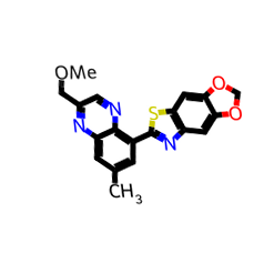 COCc1cnc2c(-c3nc4cc5c(cc4s3)OCO5)cc(C)cc2n1